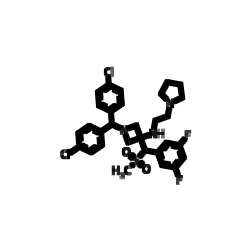 CS(=O)(=O)C(c1cc(F)cc(F)c1)C1(NCCN2CCCC2)CN(C(c2ccc(Cl)cc2)c2ccc(Cl)cc2)C1